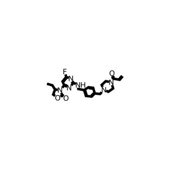 C=CC(=O)N1CCN(Cc2ccc(CNc3nc(F)cc(N4C(=O)OCC4CC)n3)cc2)CC1